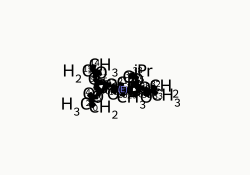 C=C(C)C(=O)Oc1cc(OC(=O)C(=C)C)cc(OC(=O)/C(C)=C(\C)c2ccc(OC(=O)C(=C)C)c(OC(=O)C(C)C)c2)c1